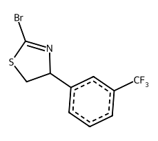 FC(F)(F)c1cccc(C2CSC(Br)=N2)c1